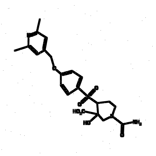 Cc1cc(COc2ccc(S(=O)(=O)C3CCN(C(N)=O)CC3(O)C(=O)O)cc2)cc(C)n1